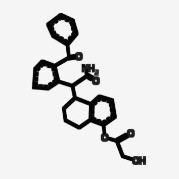 NC(=O)C(c1ccccc1C(=O)c1ccccc1)C1CCCc2c(OC(=O)CO)cccc21